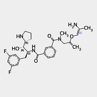 C=C(CN(C)C(=O)c1cccc(C(=O)N[C@@H](Cc2cc(F)cc(F)c2)[C@H](O)[C@H]2CCCN2)c1)O/C=C(/C)N